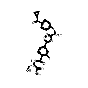 CC[C@@H](Oc1ccc(C(=O)C2CC2)cc1)c1nc(-c2ccc(C(=O)N[C@@H](CO)C(N)=O)c(F)c2)no1